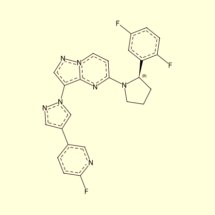 Fc1ccc(F)c([C@H]2CCCN2c2ccn3ncc(-n4cc(-c5ccc(F)nc5)cn4)c3n2)c1